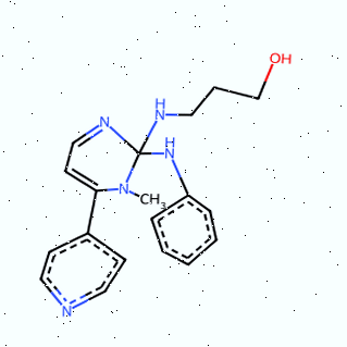 CN1C(c2ccncc2)=CC=NC1(NCCCO)Nc1ccccc1